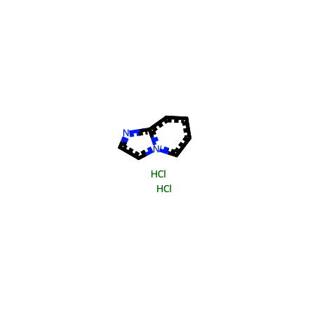 Cl.Cl.c1ccn2ccnc2c1